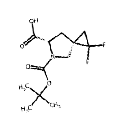 CC(C)(C)OC(=O)N1C[C@]2(C[C@H]1C(=O)O)CC2(F)F